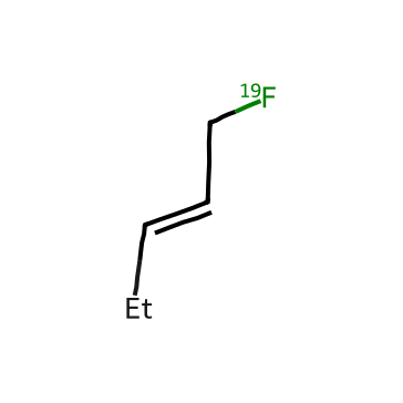 CC/C=C/C[19F]